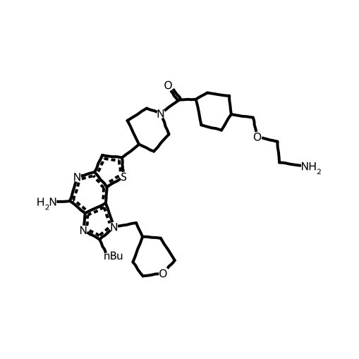 CCCCc1nc2c(N)nc3cc(C4CCN(C(=O)C5CCC(COCCN)CC5)CC4)sc3c2n1CC1CCOCC1